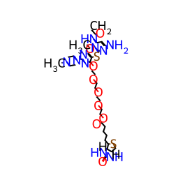 C=CC(=O)Nc1cc(N)nc(Sc2c(OC)nc(N3CCN(C)CC3)nc2OCCOCCOCCOCCOC(=O)CCCCC2SC[C@@H]3NC(=O)N[C@H]23)n1